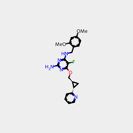 COc1ccc(CNc2nc(N)nc(OC[C@H]3C[C@@H]3c3ccccn3)c2F)c(OC)c1